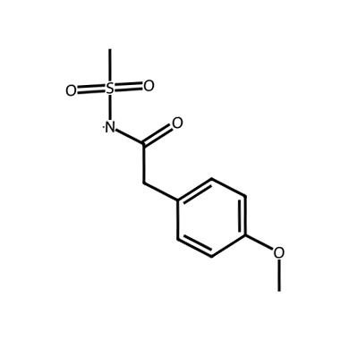 COc1ccc(CC(=O)[N]S(C)(=O)=O)cc1